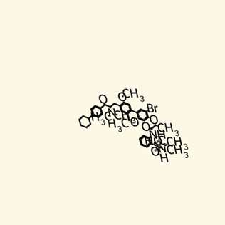 COc1cc(-c2ccc(OC(C)C(=O)Nc3ccccc3S(=O)(=O)NC(C)(C)C)c(Br)c2)c(C(C)=O)cc1CC(C(=O)c1ccc(C2CCCCC2)cc1)N(C)C